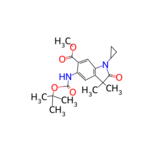 COC(=O)c1cc2c(cc1NC(=O)OC(C)(C)C)C(C)(C)C(=O)N2C1CC1